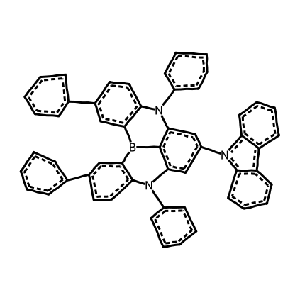 c1ccc(-c2ccc3c(c2)B2c4cc(-c5ccccc5)ccc4N(c4ccccc4)c4cc(-n5c6ccccc6c6ccccc65)cc(c42)N3c2ccccc2)cc1